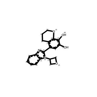 Oc1cc(-c2nc3ccccc3n2C2COC2)c2c(c1O)OCCC2